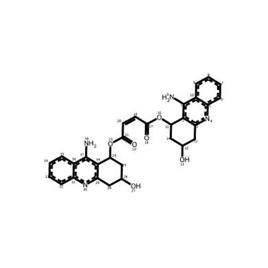 Nc1c2c(nc3ccccc13)CC(O)CC2OC(=O)/C=C\C(=O)OC1CC(O)Cc2nc3ccccc3c(N)c21